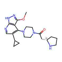 COc1n[nH]c2ncc(C3CC3)c(N3CCN(C(=O)C[C@@H]4CCCN4)CC3)c12